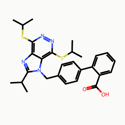 CC(C)Sc1nnc(SC(C)C)c2c1nc(C(C)C)n2Cc1ccc(-c2ccccc2C(=O)O)cc1